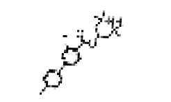 Cc1ccc(-c2ccc(C(=O)OC3CC(C)(C)NC(C)(C)C3)c(F)c2)cc1